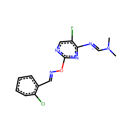 CN(C)/C=N/c1nc(ON=Cc2ccccc2Cl)ncc1F